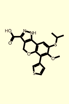 COc1c(SC(C)C)cc2c(c1-c1ccsc1)OCc1c(C(=O)O)n[nH]c1-2